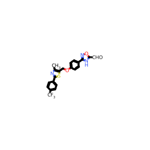 Cc1nc(-c2ccc(C(F)(F)F)cc2)sc1COc1ccc(C2=NOC(C=O)N2)cc1